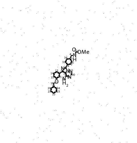 COC(=O)NCc1ccc(-c2nc(-c3cccc(OCc4ccccc4)c3)c3c(N)ncnn23)cc1